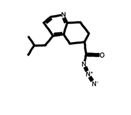 CC(C)Cc1ccnc2c1CC(C(=O)N=[N+]=[N-])CC2